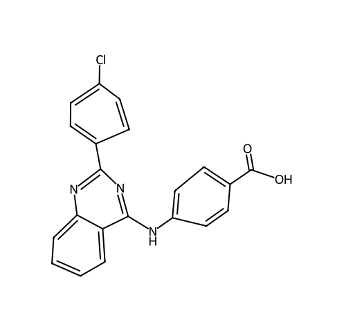 O=C(O)c1ccc(Nc2nc(-c3ccc(Cl)cc3)nc3ccccc23)cc1